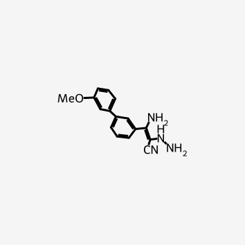 COc1cccc(-c2cccc(/C(N)=C(\C#N)NN)c2)c1